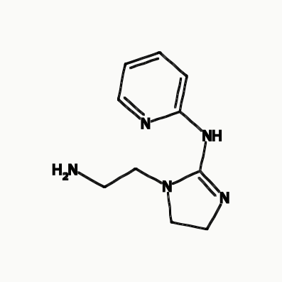 NCCN1CCN=C1Nc1ccccn1